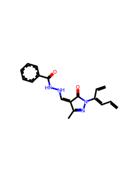 C=C/C=C(\C=C)N1N=C(C)/C(=C/NNC(=O)c2ccccc2)C1=O